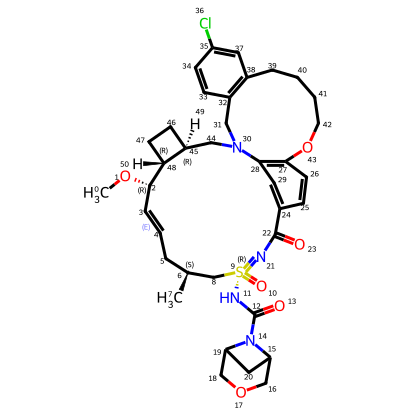 CO[C@H]1/C=C/C[C@H](C)C[S@@](=O)(NC(=O)N2C3COCC2C3)=NC(=O)c2ccc3c(c2)N(Cc2ccc(Cl)cc2CCCCO3)C[C@@H]2CC[C@H]21